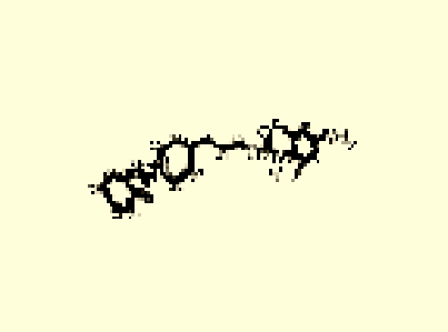 Nc1cc(F)c(NC(=O)OCCCC2CCN(c3nc4ccccc4s3)CC2)c(F)c1